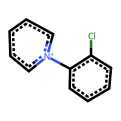 Clc1ccccc1-[n+]1ccccc1